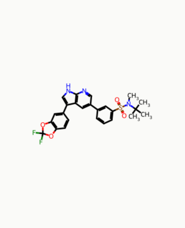 CN(C(C)(C)C)S(=O)(=O)c1cccc(-c2cnc3[nH]cc(-c4ccc5c(c4)OC(F)(F)O5)c3c2)c1